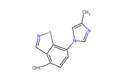 Cc1cn(-c2ccc(C=O)c3cnsc23)cn1